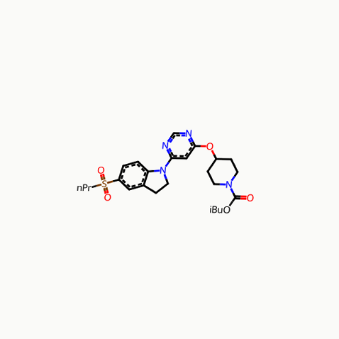 CCCS(=O)(=O)c1ccc2c(c1)CCN2c1cc(OC2CCN(C(=O)OCC(C)C)CC2)ncn1